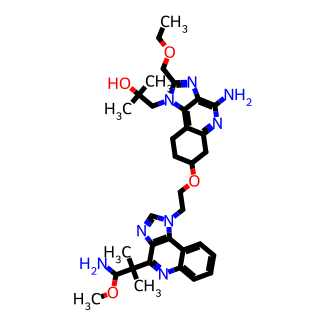 CCOCc1nc2c(N)nc3c(c2n1CC(C)(C)O)CCC(OCCn1cnc2c(C(C)(C)C(N)OC)nc4ccccc4c21)C3